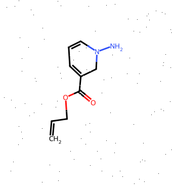 C=CCOC(=O)C1=CC=CN(N)C1